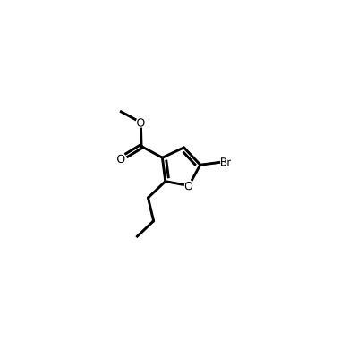 CCCc1oc(Br)cc1C(=O)OC